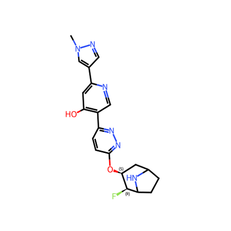 Cn1cc(-c2cc(O)c(-c3ccc(O[C@H]4CC5CCC(N5)[C@H]4F)nn3)cn2)cn1